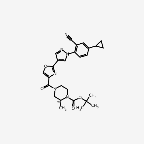 C[C@H]1CN(C(=O)c2coc(-c3cnn(-c4ccc(C5CC5)cc4C#N)c3)n2)CCN1C(=O)OC(C)(C)C